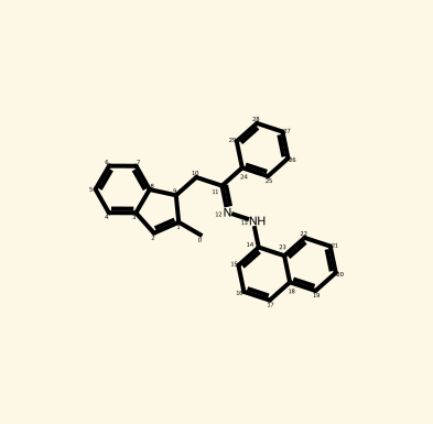 CC1=Cc2ccccc2C1CC(=NNc1cccc2ccccc12)c1ccccc1